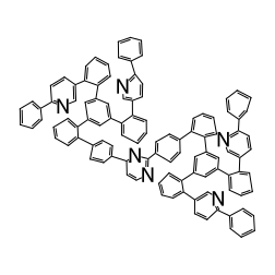 c1ccc(-c2ccc(-c3ccccc3-c3cc(-c4ccccc4-c4ccc(-c5ccnc(-c6ccc(-c7ccccc7-c7cc(-c8ccccc8-c8ccc(-c9ccccc9)nc8)cc(-c8ccccc8-c8ccc(-c9ccccc9)nc8)c7)cc6)n5)cc4)cc(-c4ccccc4-c4ccc(-c5ccccc5)nc4)c3)cn2)cc1